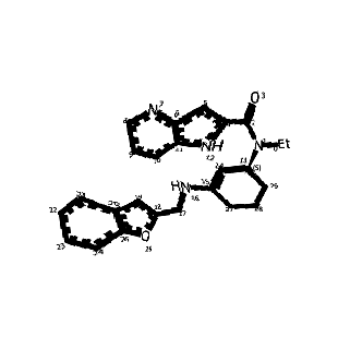 CCN(C(=O)c1cc2ncccc2[nH]1)[C@@H]1C=C(NCc2cc3ccccc3o2)CCC1